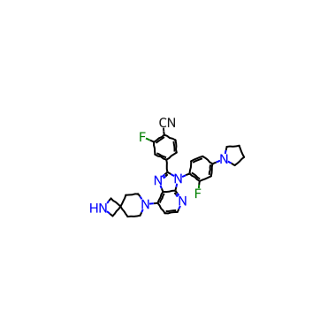 N#Cc1ccc(-c2nc3c(N4CCC5(CC4)CNC5)ccnc3n2-c2ccc(N3CCCC3)cc2F)cc1F